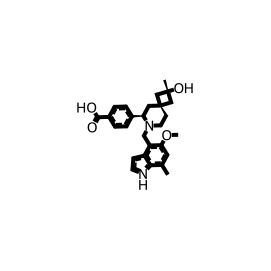 COc1cc(C)c2[nH]ccc2c1CN1CC[C@]2(C[C@@H]1c1ccc(C(=O)O)cc1)C[C@@](C)(O)C2